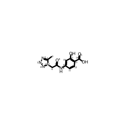 Cc1nnnn1CC(=O)Nc1ccc(C(=O)O)c(O)c1